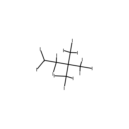 I[C](I)C(I)(I)C(C(I)(I)I)(C(I)(I)I)C(I)(I)I